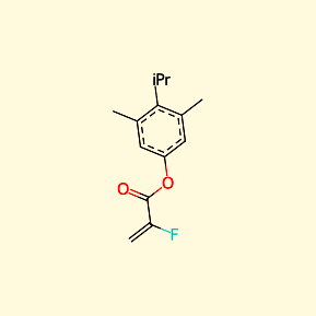 C=C(F)C(=O)Oc1cc(C)c(C(C)C)c(C)c1